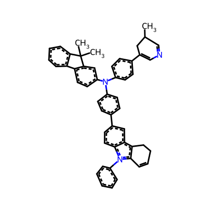 CC1C=NC=C(c2ccc(N(c3ccc(-c4ccc5c(c4)c4c(n5-c5ccccc5)C=CCC4)cc3)c3ccc4c(c3)C(C)(C)c3ccccc3-4)cc2)C1